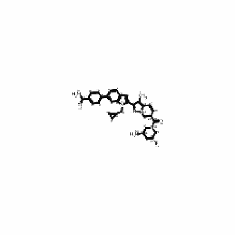 Cc1c(-c2cc3ccc(-c4ccc(C(N)=O)cc4)cc3n2CC2CC2)nn2cc(C(=O)N3C[C@H](N)C[C@@H](F)C3)ccc12